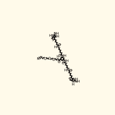 [N-]=[N+]=NCCOCCOCCOCCNC(=O)c1cc(NC(=O)CCCCCNC(=O)CCCCC2SCC3NC(=N)NC32)cc(NC(=O)CCCCCNC(=O)CCCCC2SCC3NC(=N)NC32)c1